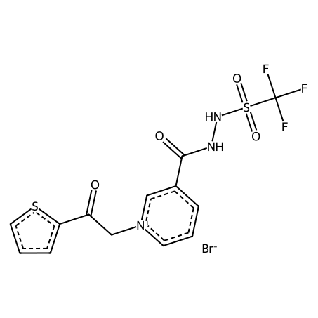 O=C(NNS(=O)(=O)C(F)(F)F)c1ccc[n+](CC(=O)c2cccs2)c1.[Br-]